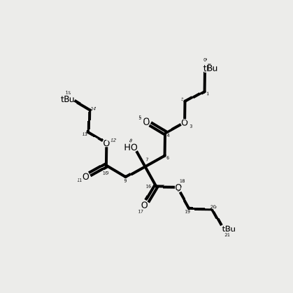 CC(C)(C)CCOC(=O)CC(O)(CC(=O)OCCC(C)(C)C)C(=O)OCCC(C)(C)C